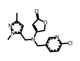 Cc1cc(CN(Cc2ccc(Cl)nc2)C2=CC(=O)OC2)n(C)n1